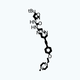 CN1CCN(CCOc2ccc(C#Cc3cnn4cc(NC(=O)Nc5cc(C(C)(C)C)on5)nc4c3)cc2)CC1